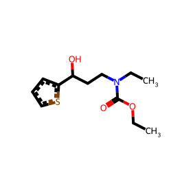 CCOC(=O)N(CC)CCC(O)c1cccs1